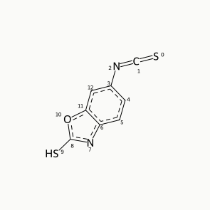 S=C=Nc1ccc2nc(S)oc2c1